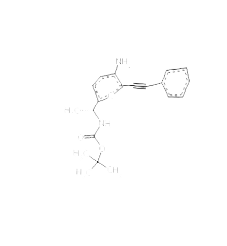 C[C@@H](NC(=O)OC(C)(C)C)c1ccc(N)c(C#Cc2ccccc2)c1